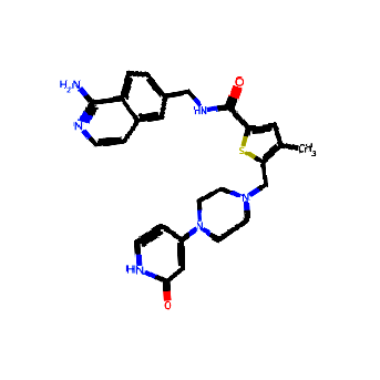 Cc1cc(C(=O)NCc2ccc3c(N)nccc3c2)sc1CN1CCN(c2cc[nH]c(=O)c2)CC1